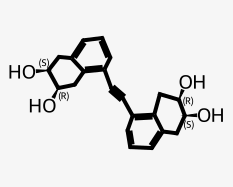 O[C@@H]1Cc2c(C#Cc3cccc4c3C[C@@H](O)[C@@H](O)C4)cccc2C[C@@H]1O